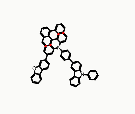 c1ccc(-c2cccc3cccc(-c4ccccc4N(c4ccc(-c5ccc6c(c5)c5ccccc5n6-c5ccccc5)cc4)c4cccc(-c5ccc6c(c5)oc5ccccc56)c4)c23)cc1